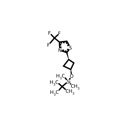 CC(C)(C)[Si](C)(C)O[C@H]1C[C@@H](c2nc(C(F)(F)F)cs2)C1